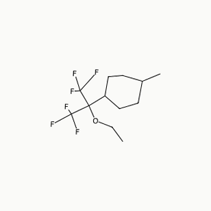 CCOC(C1CCC(C)CC1)(C(F)(F)F)C(F)(F)F